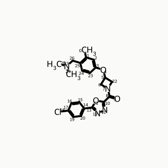 Cc1cc(OC2CN(C(=O)c3nnc(-c4ccc(Cl)cc4)o3)C2)ccc1CN(C)C